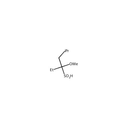 CCC(CC(C)C)(OC)S(=O)(=O)O